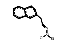 CC[S+]([O-])/N=C/Cc1ccc2ccccc2c1